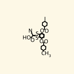 CC1CCC(C(=O)Oc2ccc(OC(=O)C3CCC(I)CC3)c3c2S/C(=C(/C#N)C(=O)O)S3)CC1